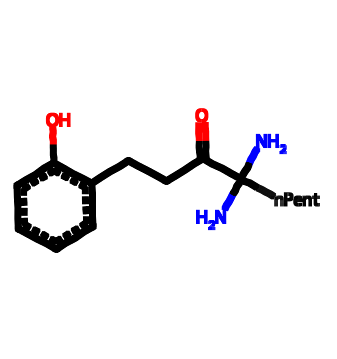 CCCCCC(N)(N)C(=O)CCc1ccccc1O